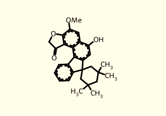 COc1cc2c(O)cc3c(c2c2c1OCC2=O)-c1ccccc1C31CC(C)(C)CC(C)(C)C1